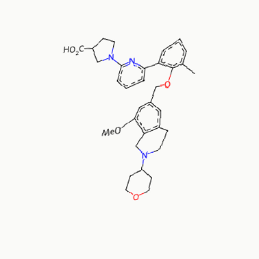 COc1cc(COc2c(C)cccc2-c2cccc(N3CCC(C(=O)O)C3)n2)cc2c1CN(C1CCOCC1)CC2